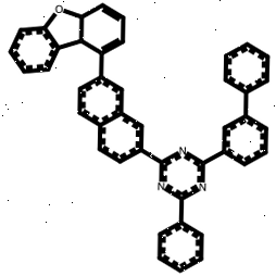 C1=CC2Oc3ccccc3C2C(c2ccc3ccc(-c4nc(-c5ccccc5)nc(-c5cccc(-c6ccccc6)c5)n4)cc3c2)=C1